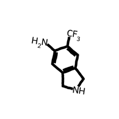 Nc1cc2c(cc1C(F)(F)F)CNC2